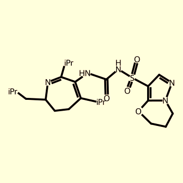 CC(C)CC1CCC(C(C)C)=C(NC(=O)NS(=O)(=O)c2cnn3c2OCCC3)C(C(C)C)=N1